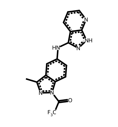 Cc1nn(C(=O)C(F)(F)F)c2ccc(Nc3n[nH]c4ncccc34)cc12